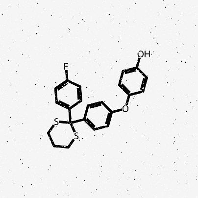 Oc1ccc(Oc2ccc(C3(c4ccc(F)cc4)SCCCS3)cc2)cc1